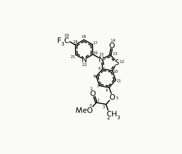 COC(=O)C(C)Oc1ccc2c(c1)sc(=O)n2-c1ccc(C(F)(F)F)cn1